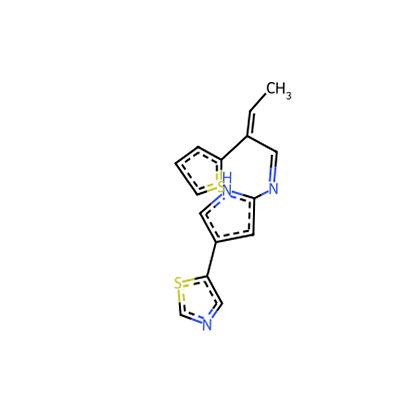 C/C=C(\C=N/c1cc(-c2cncs2)c[nH]1)c1cccs1